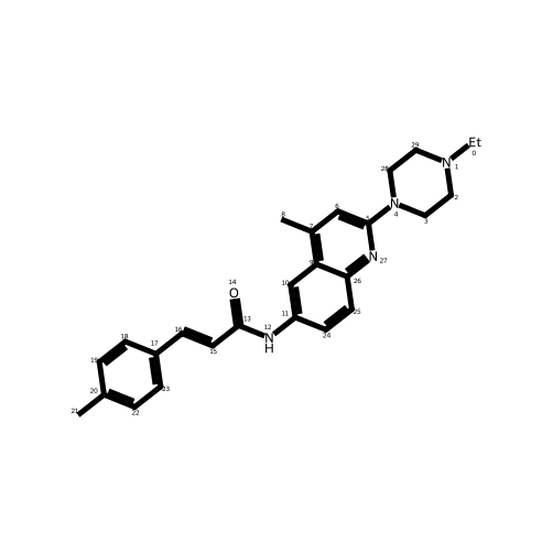 CCN1CCN(c2cc(C)c3cc(NC(=O)C=Cc4ccc(C)cc4)ccc3n2)CC1